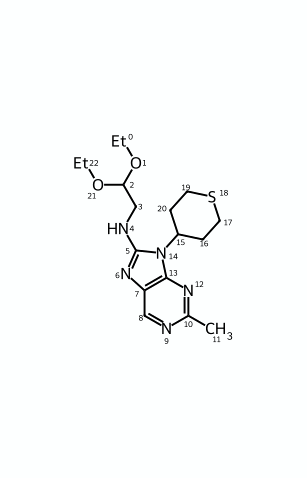 CCOC(CNc1nc2cnc(C)nc2n1C1CCSCC1)OCC